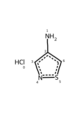 Cl.Nc1cnsc1